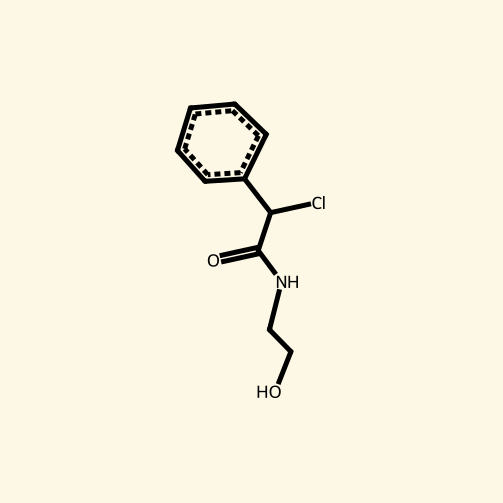 O=C(NCCO)C(Cl)c1ccccc1